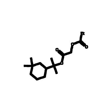 CCC(=O)OCC(=O)OC(C)(C)C1CCCC(C)(C)C1